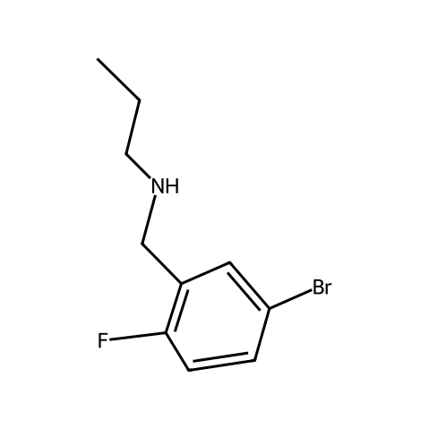 CCCNCc1cc(Br)ccc1F